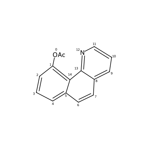 CC(=O)Oc1cccc2ccc3cccnc3c12